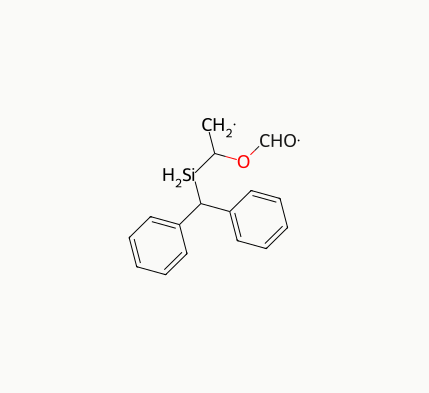 [CH2]C(O[C]=O)[SiH2]C(c1ccccc1)c1ccccc1